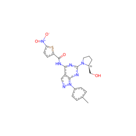 Cc1ccc(-n2ncc3c(NC(=O)c4ccc([N+](=O)[O-])s4)nc(N4CCC[C@H]4CO)nc32)cc1